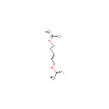 CC(C)OC/C=C/CCOC(C)C